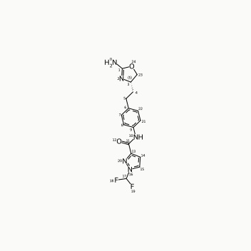 NC1=N[C@@H](CCc2ccc(NC(=O)c3ccn(C(F)F)n3)cc2)CO1